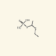 CCSC(C)SP(O)(O)=S